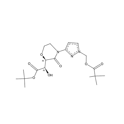 CC(C)(C)OC(=O)[C@H](O)[C@H]1OCCN(c2ccn(COC(=O)C(C)(C)C)n2)C1=O